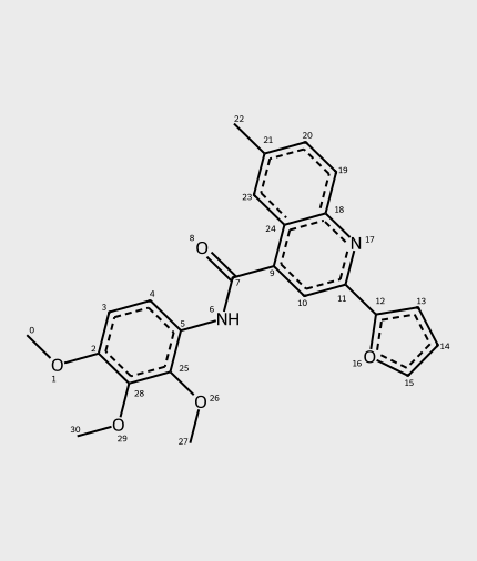 COc1ccc(NC(=O)c2cc(-c3ccco3)nc3ccc(C)cc23)c(OC)c1OC